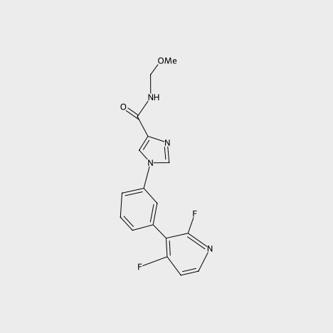 COCNC(=O)c1cn(-c2cccc(-c3c(F)ccnc3F)c2)cn1